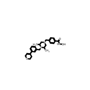 CC1CN(Cc2ccc(C(=O)NO)cc2)CC(C)N1Cc1cccc(C2=CCOCC2)c1